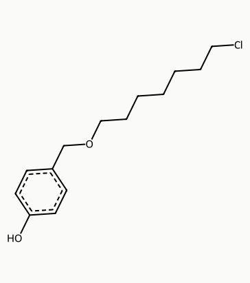 Oc1ccc(COCCCCCCCCl)cc1